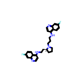 Fc1ccc2c(NCCCN3CCC[C@H]3CCNc3ccnc4cc(F)ccc34)ccnc2c1